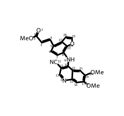 COC(=O)C=Cc1ccc(Nc2c(C#N)cnc3cc(OC)c(OC)cc23)c2occc12